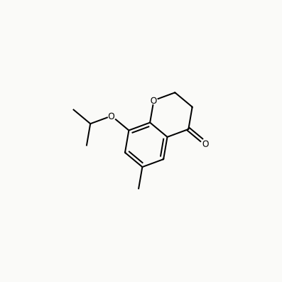 Cc1cc(OC(C)C)c2c(c1)C(=O)CCO2